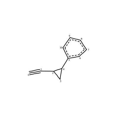 C#CC1CC1c1ccccc1